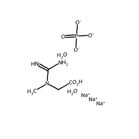 CN(CC(=O)O)C(=N)N.O.O.O=P([O-])([O-])[O-].[Na+].[Na+].[Na+]